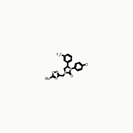 CC(C)(C)c1nc(CN2CC(c3cccc(C(F)(F)F)c3)N(c3ccc(Cl)cc3)C2=O)no1